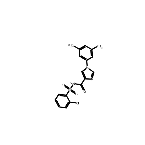 Cc1cc(C)cc(-n2cnc(C(=O)NS(=O)(=O)c3ccccc3Cl)c2)c1